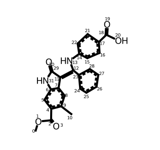 COC(=O)c1cc2c(cc1C)/C(=C(/Nc1ccc(C(=O)O)cc1)c1ccccc1)C(=O)N2